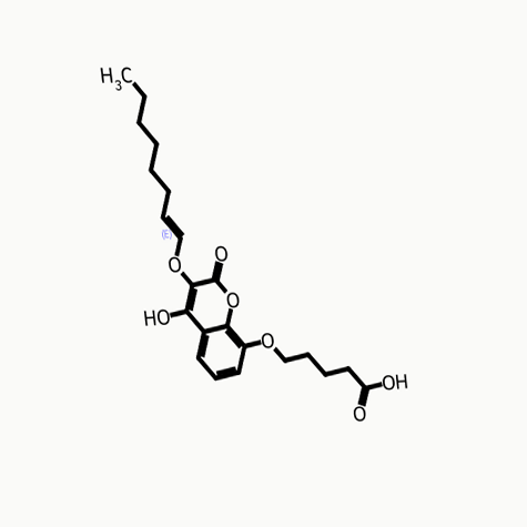 CCCCCC/C=C/Oc1c(O)c2cccc(OCCCCC(=O)O)c2oc1=O